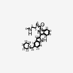 CNCCN(C)C(=O)n1nc(-c2cc3cc(CN4CCCCC4)ccc3[nH]2)c2ccccc21